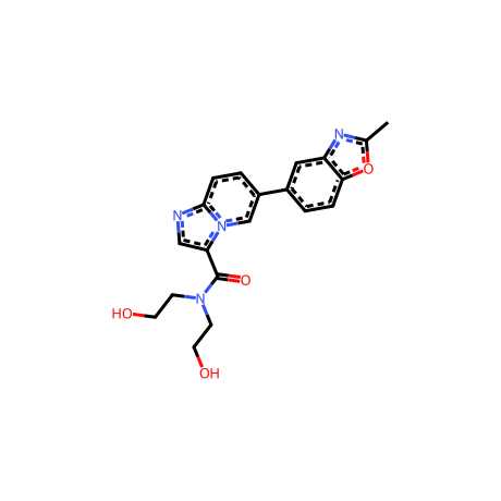 Cc1nc2cc(-c3ccc4ncc(C(=O)N(CCO)CCO)n4c3)ccc2o1